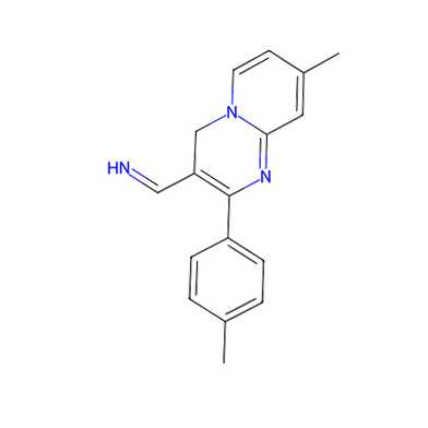 CC1=CC2=NC(c3ccc(C)cc3)=C(C=N)CN2C=C1